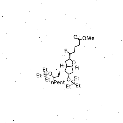 CCCCC[C@@H](/C=C/[C@@H]1[C@H]2CC(=C(F)CCCC(=O)OC)O[C@H]2C[C@H]1O[Si](CC)(CC)CC)O[Si](CC)(CC)CC